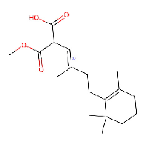 COC(=O)C(/C=C(\C)CCC1=C(C)CCCC1(C)C)C(=O)O